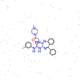 Cc1cccc(NC(=O)NC2N=C(c3ccccc3)c3ccccc3N=C2NCC(=O)N2CCN(C)CC2)c1